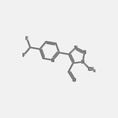 Cn1nnc(-c2ccc(C(F)F)cn2)c1C=O